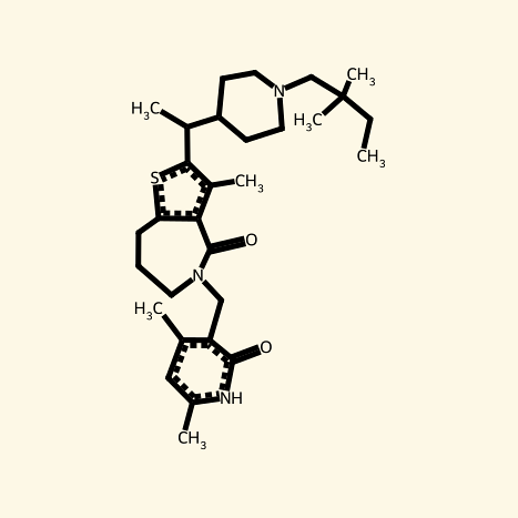 CCC(C)(C)CN1CCC(C(C)c2sc3c(c2C)C(=O)N(Cc2c(C)cc(C)[nH]c2=O)CCC3)CC1